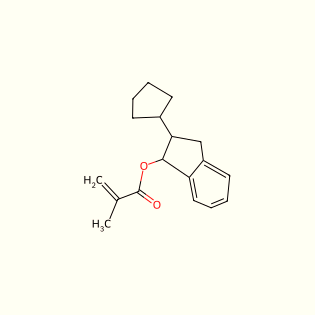 C=C(C)C(=O)OC1c2ccccc2CC1C1CCCC1